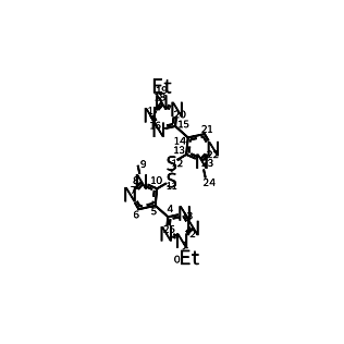 CCn1nnc(-c2cnn(C)c2SSc2c(-c3nnn(CC)n3)cnn2C)n1